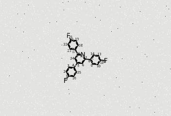 Fc1ccc(-c2cc(-c3ccc(F)cc3)nc(-c3ccc(F)cc3)c2)cc1